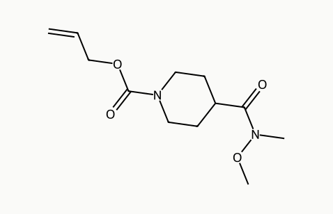 C=CCOC(=O)N1CCC(C(=O)N(C)OC)CC1